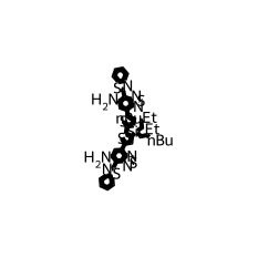 CCCCC(CC)C[Si]1(CC(CC)CCCC)c2cc(-c3cc(N)c(-c4nc5ccccc5s4)c4nsnc34)sc2-c2sc(-c3cc(N)c(-c4nc5ccccc5s4)c4nsnc34)cc21